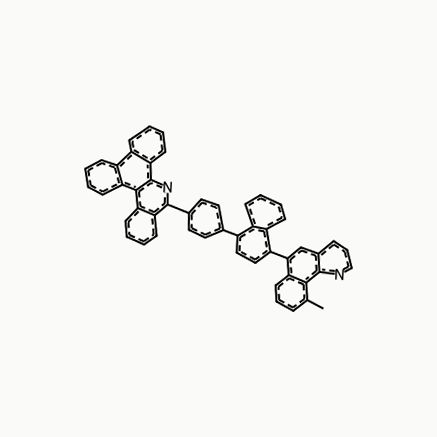 Cc1cccc2c(-c3ccc(-c4ccc(-c5nc6c7ccccc7c7ccccc7c6c6ccccc56)cc4)c4ccccc34)cc3cccnc3c12